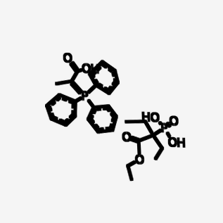 CC(C(=O)O)=P(c1ccccc1)(c1ccccc1)c1ccccc1.CCOC(=O)C(CC)(CC)P(=O)(O)O